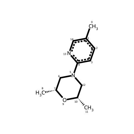 Cc1ccc(N2C[C@@H](C)O[C@@H](C)C2)nc1